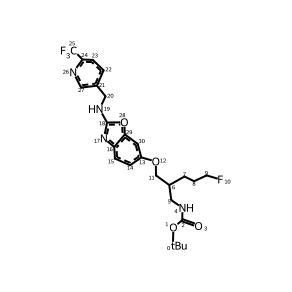 CC(C)(C)OC(=O)NCC(CCCF)COc1ccc2nc(NCc3ccc(C(F)(F)F)nc3)oc2c1